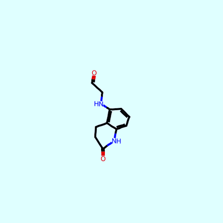 O=CCNc1cccc2c1CCC(=O)N2